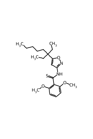 CCCCCC(CC)(CC)c1cc(NC(=S)c2c(OC)cccc2OC)no1